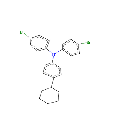 Brc1ccc(N(c2ccc(Br)cc2)c2ccc(C3CCCCC3)cc2)cc1